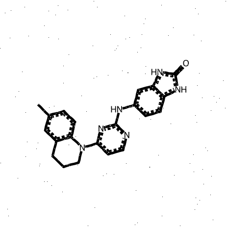 Cc1ccc2c(c1)CCCN2c1ccnc(Nc2ccc3[nH]c(=O)[nH]c3c2)n1